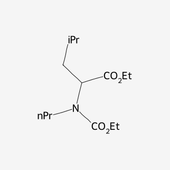 CCCN(C(=O)OCC)C(CC(C)C)C(=O)OCC